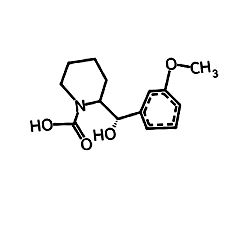 COc1cccc([C@H](O)C2CCCCN2C(=O)O)c1